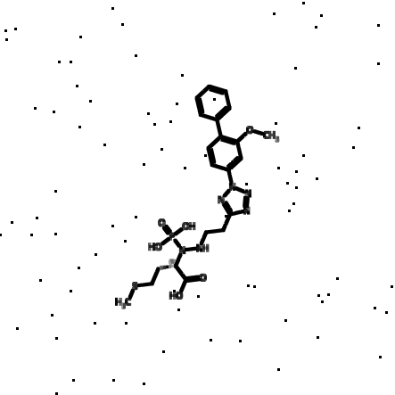 COc1cc(-n2nnc(CCNN([C@@H](CCSC)C(=O)O)P(=O)(O)O)n2)ccc1-c1ccccc1